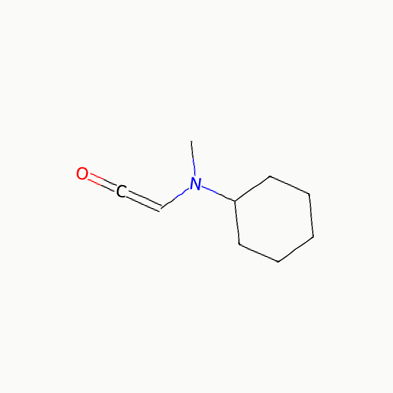 CN(C=C=O)C1CCCCC1